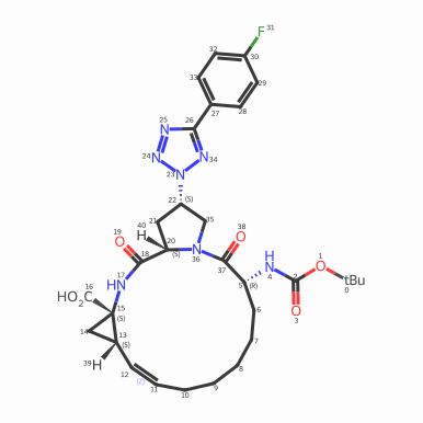 CC(C)(C)OC(=O)N[C@@H]1CCCCC/C=C\[C@@H]2C[C@]2(C(=O)O)NC(=O)[C@@H]2C[C@H](n3nnc(-c4ccc(F)cc4)n3)CN2C1=O